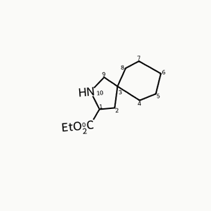 CCOC(=O)C1CC2(CCCCC2)CN1